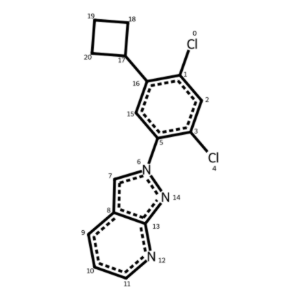 Clc1cc(Cl)c(-n2cc3cccnc3n2)cc1C1CCC1